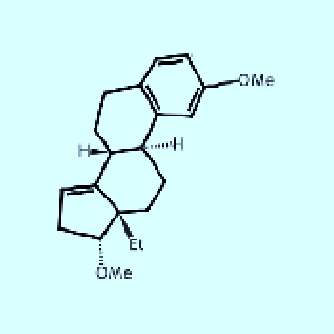 CC[C@]12CC[C@@H]3c4cc(OC)[c]cc4CC[C@H]3C1=CC[C@H]2OC